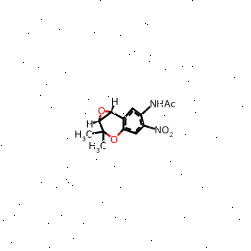 CC(=O)Nc1cc2c(cc1[N+](=O)[O-])OC(C)(C)[C@@H]1O[C@H]21